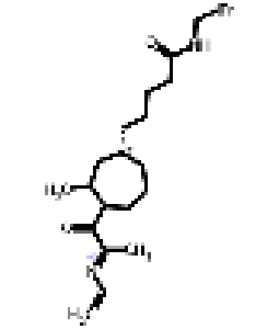 C=C/N=C(\C)C(=O)C1CCC[C@@H](CCCCC(=O)NCC(C)C)CC1C